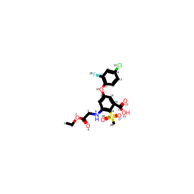 CCOC(=O)CNc1cc(Oc2ccc(Cl)cc2F)cc(C(=O)O)c1S(C)(=O)=O